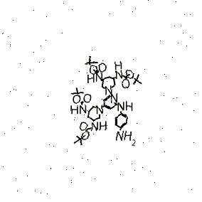 CC(C)(C)OC(=O)N[C@@H]1C[C@H](NC(=O)OC(C)(C)C)CN(c2cc(Nc3ccc(N)cc3)nc(N3C[C@H](NC(=O)OC(C)(C)C)C[C@H](NC(=O)OC(C)(C)C)C3)c2)C1